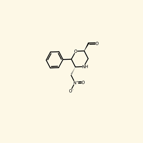 O=C[C@H]1CN[C@H](C[N+](=O)[O-])C(c2ccccc2)O1